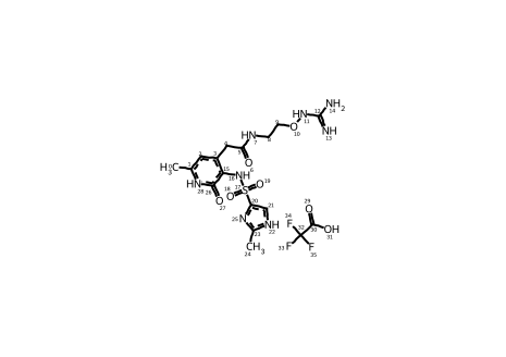 Cc1cc(CC(=O)NCCONC(=N)N)c(NS(=O)(=O)c2c[nH]c(C)n2)c(=O)[nH]1.O=C(O)C(F)(F)F